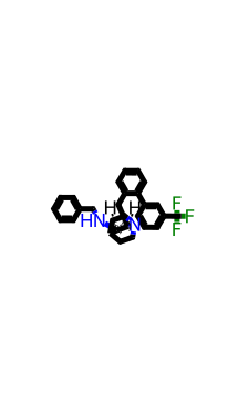 FC(F)(F)c1cccc(-c2ccccc2C[C@@H]2[C@H](NCc3ccccc3)C3CCN2CC3)c1